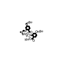 CCCCOc1ccc(C(=O)OC)c(/N=C/N(C)C)c1.CCCCOc1ccc(C(=O)OC)c(N)c1